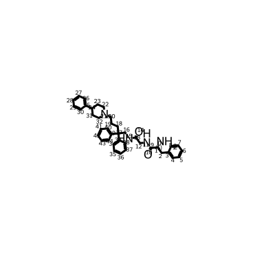 N[C@@H](Cc1ccccc1)C(=O)NCC(=O)NCC(CCCN1CCC(c2ccccc2)CC1)(c1ccccc1)c1ccccc1